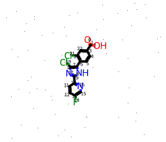 O=C(O)c1ccc(-c2[nH]c(-c3ccc(F)cn3)nc2Cl)c(Cl)c1